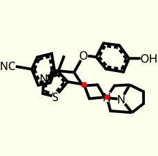 Cc1ncsc1CCN1CC2CCC(C1)N2CCCC(Oc1ccc(O)cc1)c1ccc(C#N)cc1